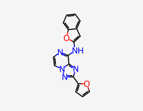 c1coc(-c2nc3c(Nc4cc5ccccc5o4)nccn3n2)c1